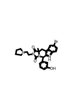 CC12Cc3c([nH]c4ccc(Br)cc34)C(c3cccc(O)c3)N1C(=O)N(CCN1CCCC1)C2=O